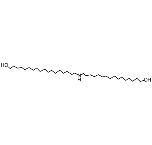 OCCCCCCCCCCCCCCCCCCNCCCCCCCCCCCCCCCCO